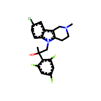 CN1CCc2c(c3cc(Cl)ccc3n2CC(C)(O)c2c(F)cc(F)cc2F)C1